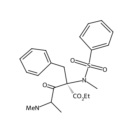 CCOC(=O)[C@@](Cc1ccccc1)(C(=O)C(C)NC)N(C)S(=O)(=O)c1ccccc1